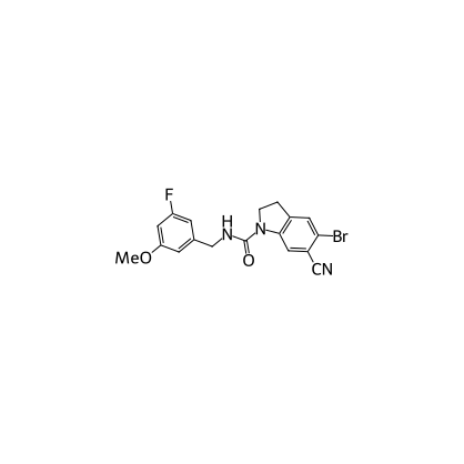 COc1cc(F)cc(CNC(=O)N2CCc3cc(Br)c(C#N)cc32)c1